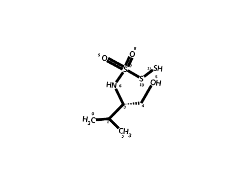 CC(C)[C@@H](CO)NS(=O)(=O)SS